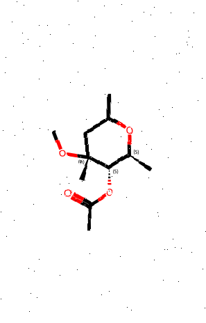 CO[C@]1(C)CC(C)O[C@@H](C)[C@@H]1OC(C)=O